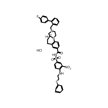 Cl.O=C(NS(=O)(=O)c1ccc(NCCSc2ccccc2)c([N+](=O)[O-])c1)c1ccc2c(c1)CC[C@H]1CN(Cc3ccccc3-c3ccc(F)cc3)CCN21